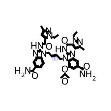 CCn1nc(C)cc1C(=O)Nc1nc2cc(C(N)=O)ccc2n1C/C=C/Cn1c(NC(=O)c2cc(C)nn2CC)nc2cc(C(N)=O)cc(OC3COC3)c21